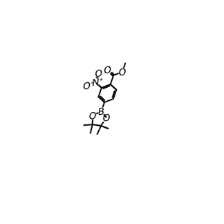 COC(=O)c1ccc(B2OC(C)(C)C(C)(C)O2)cc1[N+](=O)[O-]